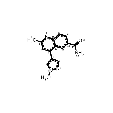 Cc1cc(-c2cnn(C)c2)c2cc(C(N)=O)ccc2n1